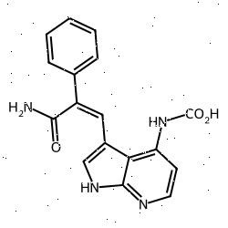 NC(=O)/C(=C\c1c[nH]c2nccc(NC(=O)O)c12)c1ccccc1